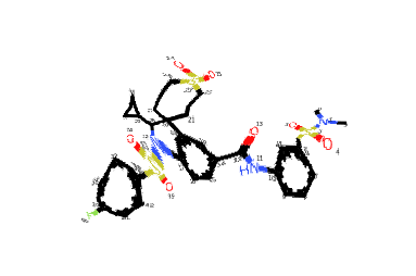 CN(C)S(=O)(=O)c1cccc(NC(=O)c2ccc3c(c2)C2(CCS(=O)(=O)CC2)C(C2CC2)N3S(=O)(=O)c2ccc(F)cc2)c1